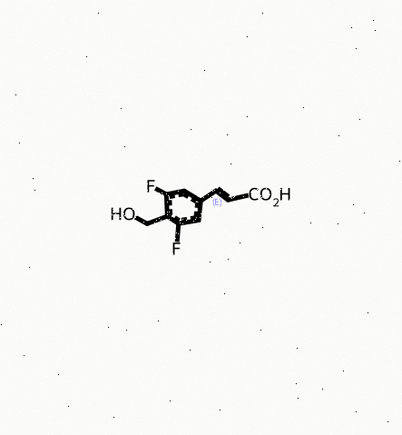 O=C(O)/C=C/c1cc(F)c(CO)c(F)c1